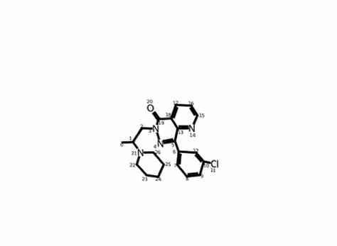 CC(Cn1nc(-c2cccc(Cl)c2)c2ncccc2c1=O)N1CCCCC1